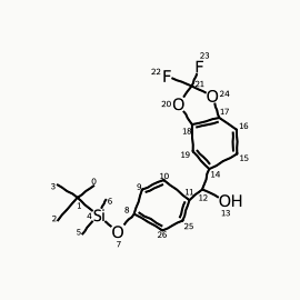 CC(C)(C)[Si](C)(C)Oc1ccc(C(O)c2ccc3c(c2)OC(F)(F)O3)cc1